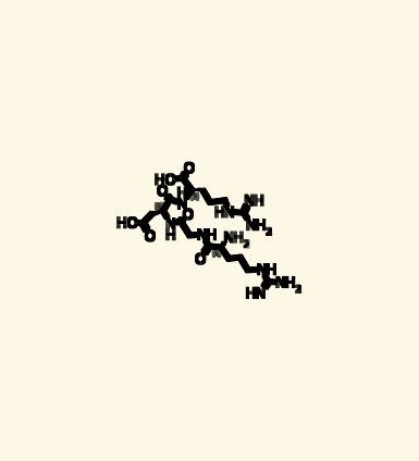 N=C(N)NCCC[C@H](NC(=O)[C@H](CC(=O)O)NC(=O)CNC(=O)[C@@H](N)CCCNC(=N)N)C(=O)O